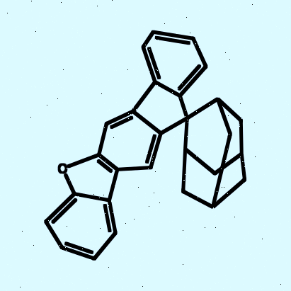 c1ccc2c(c1)-c1cc3oc4ccccc4c3cc1C21C2CC3CC(C2)CC1C3